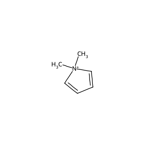 C[N+]1(C)C=CC=C1